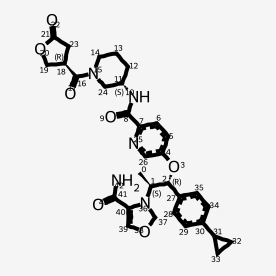 C[C@@H]([C@H](Oc1ccc(C(=O)N[C@H]2CCCN(C(=O)[C@H]3COC(=O)C3)C2)nc1)c1ccc(C2CC2)cc1)N1COC=C1C(N)=O